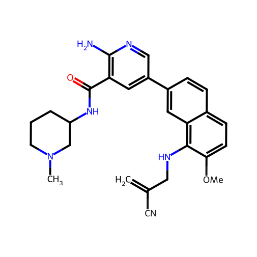 C=C(C#N)CNc1c(OC)ccc2ccc(-c3cnc(N)c(C(=O)NC4CCCN(C)C4)c3)cc12